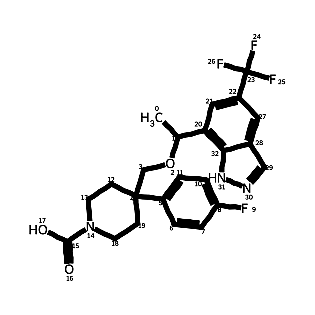 CC(OCC1(c2ccc(F)cc2)CCN(C(=O)O)CC1)c1cc(C(F)(F)F)cc2cn[nH]c12